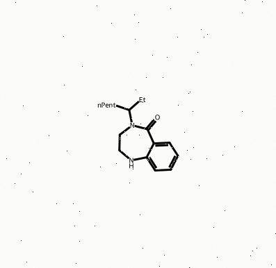 CCCCCC(CC)N1CCNc2ccccc2C1=O